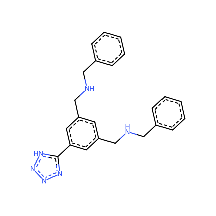 c1ccc(CNCc2cc(CNCc3ccccc3)cc(-c3nnn[nH]3)c2)cc1